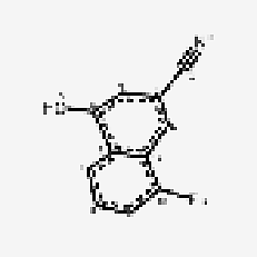 N#Cc1cc(O)c2cccc(F)c2c1